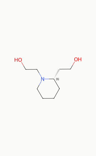 OCC[C@@H]1CCCCN1CCO